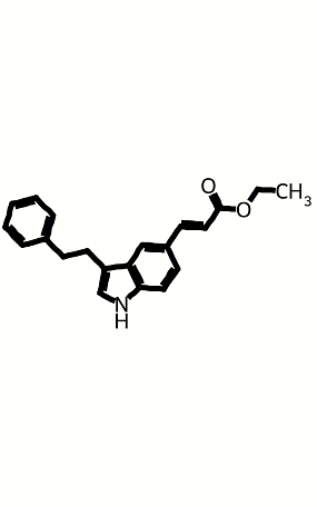 CCOC(=O)/C=C/c1ccc2[nH]cc(CCc3ccccc3)c2c1